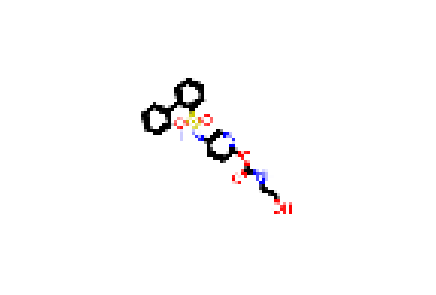 O=C(NCCO)Oc1ccc(NS(=O)(=O)c2ccccc2-c2ccccc2)cn1